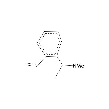 C=Cc1ccccc1C(C)NC